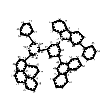 c1ccc(-c2ccc3c4ccccc4n(-c4cc(-c5nc(-c6ccccc6)nc(-c6ccc7ccc8cccc9ccc6c7c89)n5)cc(-c5cc6ccccc6c6ccccc56)c4)c3c2)cc1